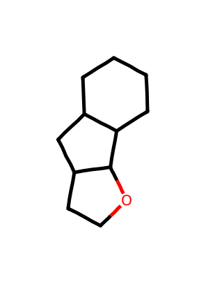 C1CCC2C(C1)CC1CCOC12